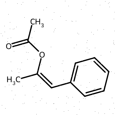 CC(=O)OC(C)=Cc1ccccc1